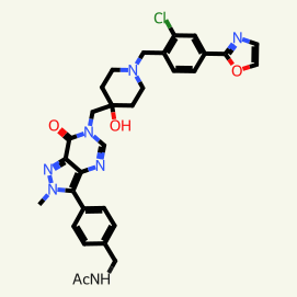 CC(=O)NCc1ccc(-c2c3ncn(CC4(O)CCN(Cc5ccc(-c6ncco6)cc5Cl)CC4)c(=O)c3nn2C)cc1